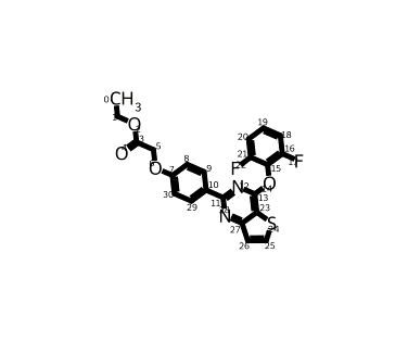 CCOC(=O)COc1ccc(-c2nc(Oc3c(F)cccc3F)c3sccc3n2)cc1